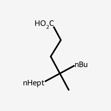 CCCCCCCC(C)(CCCC)CCC(=O)O